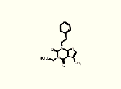 Cc1csc2c1c(=O)n(CC(=O)O)c(=O)n2CCc1ccccc1